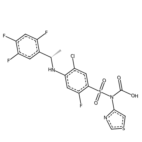 C[C@H](Nc1cc(F)c(S(=O)(=O)N(C(=O)O)c2cscn2)cc1Cl)c1cc(F)c(F)cc1F